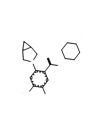 CNc1cc(N2CC3CC3C2)c(C(=O)N[C@H]2CC[C@@H](C)CC2)cc1[N+](=O)[O-]